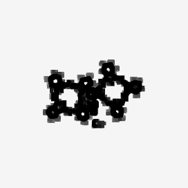 O=S(=O)(Oc1cccc2c3nc4nc(nc5[nH]c(nc6nc(nc([nH]3)c12)-c1ccccc1-6)c1ccccc51)-c1ccccc1-4)c1cccc2c3nc4nc(nc5[nH]c(nc6nc(nc([nH]3)c12)-c1ccccc1-6)c1ccccc51)-c1ccccc1-4.[Cu]